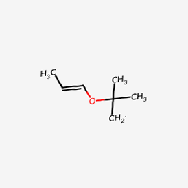 [CH2]C(C)(C)OC=CC